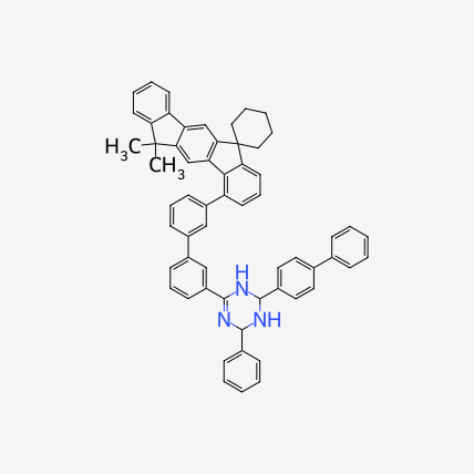 CC1(C)c2ccccc2-c2cc3c(cc21)-c1c(-c2cccc(-c4cccc(C5=NC(c6ccccc6)NC(c6ccc(-c7ccccc7)cc6)N5)c4)c2)cccc1C31CCCCC1